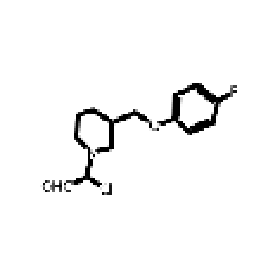 O=CC(Cl)N1CCCC(COc2ccc(F)cc2)C1